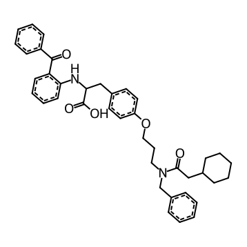 O=C(c1ccccc1)c1ccccc1NC(Cc1ccc(OCCCN(Cc2ccccc2)C(=O)CC2CCCCC2)cc1)C(=O)O